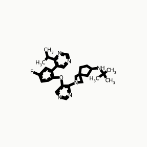 CC(C)c1ncncc1-c1cc(F)ccc1Oc1cncnc1N1CC2(CCC(NC(C)(C)C)C2)C1